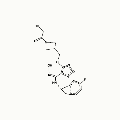 O=C(CO)N1CC(COc2nonc2/C(=N\O)N[C@H]2Cc3ccc(F)cc32)C1